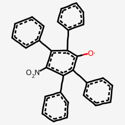 [O]c1c(-c2ccccc2)c(-c2ccccc2)c([N+](=O)[O-])c(-c2ccccc2)c1-c1ccccc1